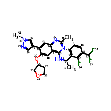 Cc1nc(N[C@H](C)c2cccc(C(F)F)c2F)c2cc(O[C@H]3CCOC3)c(-c3cnn(C)c3)cc2n1